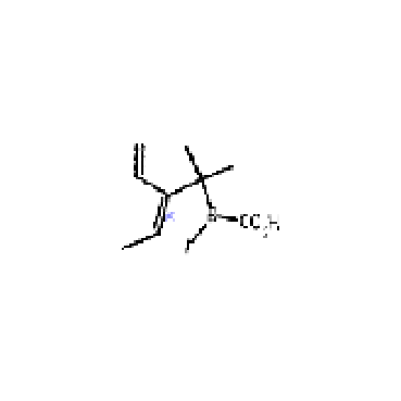 C=C/C(=C\C)C(C)(C)B(I)C(=O)O